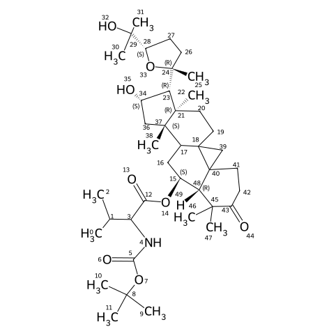 CC(C)C(NC(=O)OC(C)(C)C)C(=O)O[C@H]1CC2C3(CC[C@]4(C)[C@@H]([C@@]5(C)CC[C@@H](C(C)(C)O)O5)[C@@H](O)C[C@@]24C)CC32CCC(=O)C(C)(C)[C@H]12